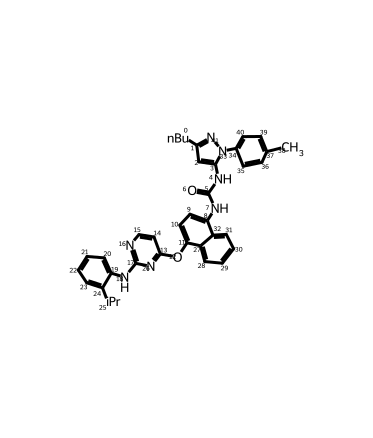 CCCCc1cc(NC(=O)Nc2ccc(Oc3ccnc(Nc4ccccc4C(C)C)n3)c3ccccc23)n(-c2ccc(C)cc2)n1